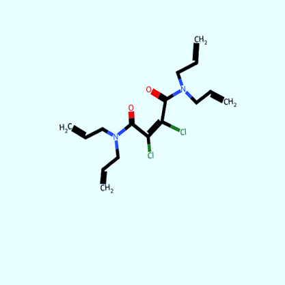 C=CCN(CC=C)C(=O)/C(Cl)=C(/Cl)C(=O)N(CC=C)CC=C